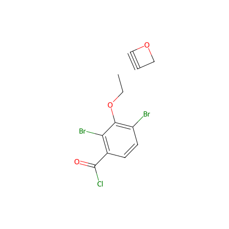 C1#COC1.CCOc1c(Br)ccc(C(=O)Cl)c1Br